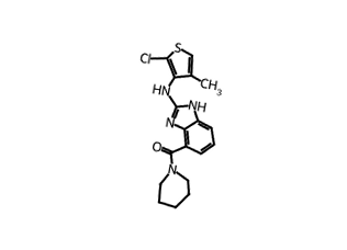 Cc1csc(Cl)c1Nc1nc2c(C(=O)N3CCCCC3)cccc2[nH]1